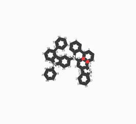 c1ccc(-c2ccccc2N(c2ccc3sc4ccccc4c3c2)c2ccc3c(c2)c2c(-c4ccccc4)cccc2n3-c2ccccc2)cc1